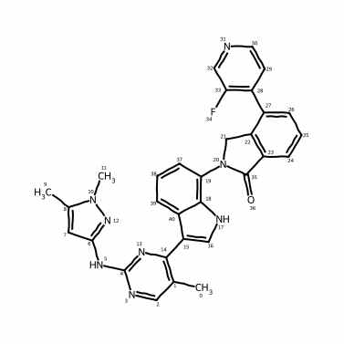 Cc1cnc(Nc2cc(C)n(C)n2)nc1-c1c[nH]c2c(N3Cc4c(cccc4-c4ccncc4F)C3=O)cccc12